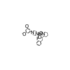 COc1cc(OC)cc(N2CCN(C(=O)OC(Cc3ccccc3F)C3CCCCN3)CC2)c1